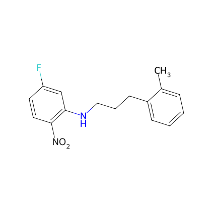 Cc1ccccc1CCCNc1cc(F)ccc1[N+](=O)[O-]